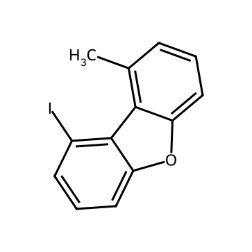 Cc1cccc2oc3cccc(I)c3c12